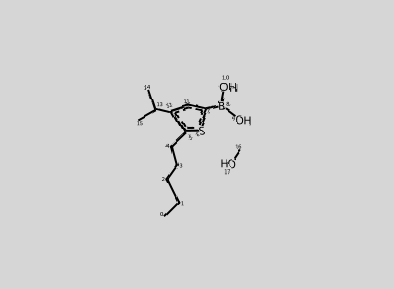 CCCCCc1sc(B(O)O)cc1C(C)C.CO